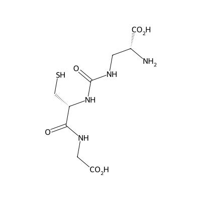 N[C@H](CNC(=O)N[C@@H](CS)C(=O)NCC(=O)O)C(=O)O